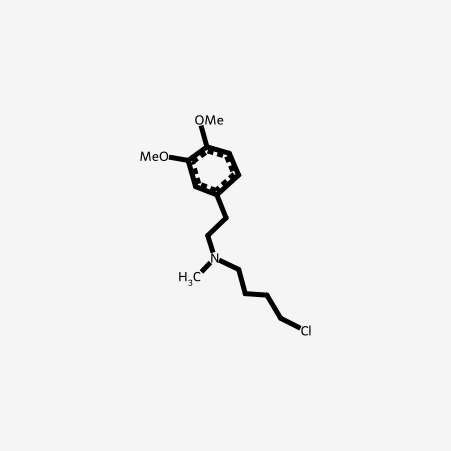 COc1ccc(CCN(C)CCCCCl)cc1OC